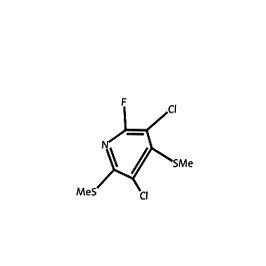 CSc1nc(F)c(Cl)c(SC)c1Cl